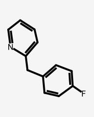 Fc1ccc(Cc2ccccn2)cc1